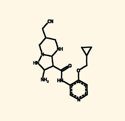 N#CCC1CNC2C(C(=O)Nc3cnccc3OCC3CC3)C(N)NN2C1